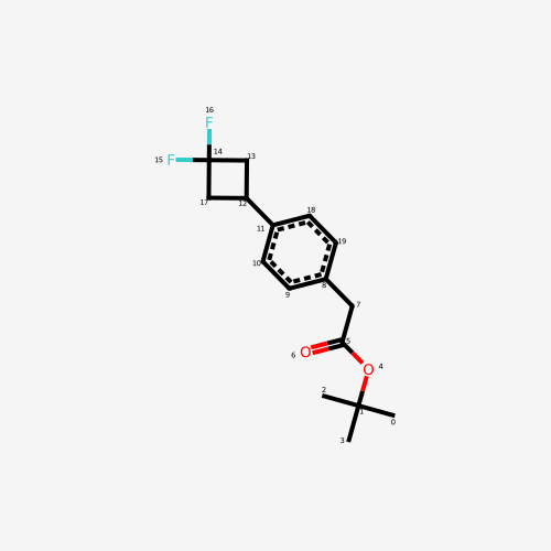 CC(C)(C)OC(=O)Cc1ccc(C2CC(F)(F)C2)cc1